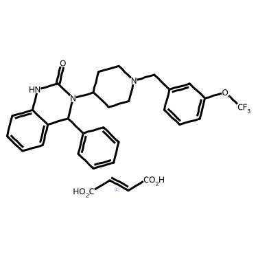 O=C(O)/C=C/C(=O)O.O=C1Nc2ccccc2C(c2ccccc2)N1C1CCN(Cc2cccc(OC(F)(F)F)c2)CC1